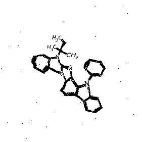 CCC(C)(C)n1c2ccccc2n2c3ccc4c5ccccc5n(-c5ccccc5)c4c3nc12